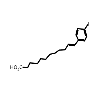 O=C(O)CCCCCCCCC/C=C/c1ccc(I)cc1